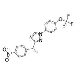 CC(c1ccc([N+](=O)[O-])cc1)c1ncn(-c2ccc(OC(F)(F)F)cc2)n1